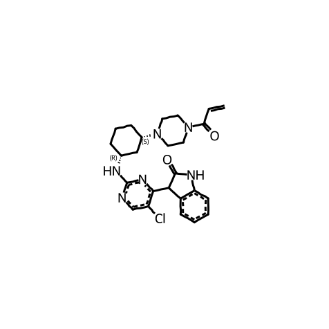 C=CC(=O)N1CCN([C@H]2CCC[C@@H](Nc3ncc(Cl)c(C4C(=O)Nc5ccccc54)n3)C2)CC1